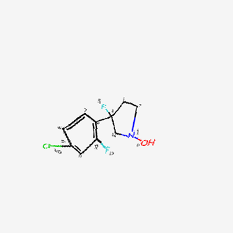 ON1CCC(F)(c2ccc(Cl)cc2F)C1